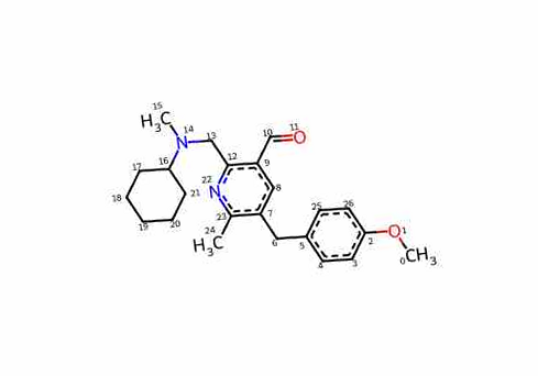 COc1ccc(Cc2cc(C=O)c(CN(C)C3CCCCC3)nc2C)cc1